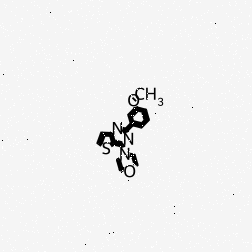 COc1cccc(-c2nc(N3CCOCC3)c3sccc3n2)c1